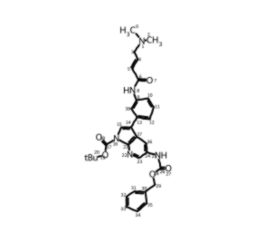 CN(C)CC=CC(=O)Nc1cccc(-c2cn(C(=O)OC(C)(C)C)c3ncc(NC(=O)OCc4ccccc4)cc23)c1